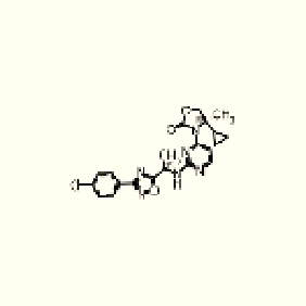 C[C@@H](Nc1nccc(N2C(=O)OC[C@@]2(C)C2CC2)n1)c1nc(-c2ccc(Cl)cc2)no1